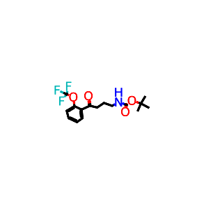 CC(C)(C)OC(=O)NCCCC(=O)c1ccccc1OC(F)(F)F